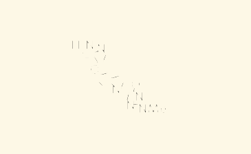 CNc1ncc(-c2ccc3cc(Oc4ccnc(N)c4F)ccc3n2)c(=O)n1C